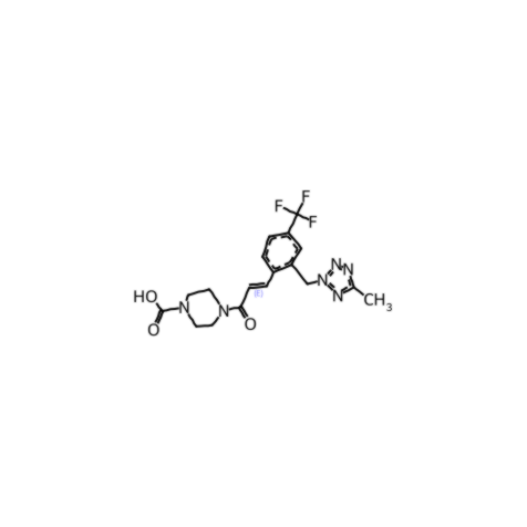 Cc1nnn(Cc2cc(C(F)(F)F)ccc2/C=C/C(=O)N2CCN(C(=O)O)CC2)n1